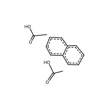 CC(=O)O.CC(=O)O.c1ccc2ccccc2c1